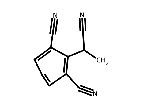 CC(C#N)c1c(C#N)[c]ccc1C#N